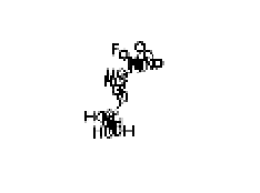 CC(C)c1c(C(=O)Nc2ccccc2)c(-c2ccccc2)c(-c2ccc(F)cc2)n1CCC(O)CC(O)CC(=O)OCCCCC(CON(O)O)ON(O)O